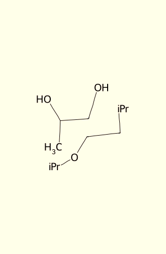 CC(C)CCOC(C)C.CC(O)CO